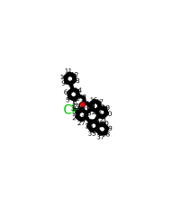 CCC(Cc1cccc(-c2ccccc2)c1)c1ccc2cccc3c2c1-c1c(ccc(Cl)c1C)-c1ccc2ccccc2c1-3